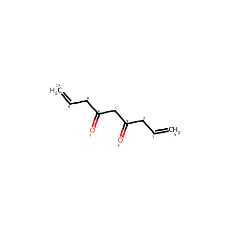 C=CCC(=O)[CH]C(=O)CC=C